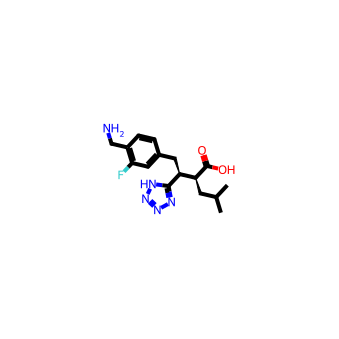 CC(C)C[C@H](C(=O)O)[C@H](Cc1ccc(CN)c(F)c1)c1nnn[nH]1